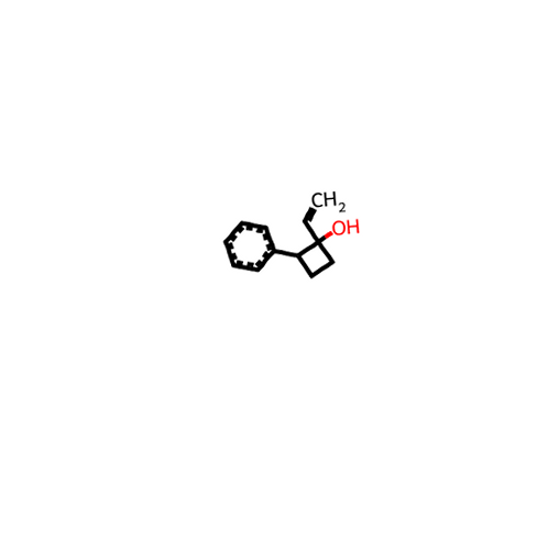 C=CC1(O)CCC1c1ccccc1